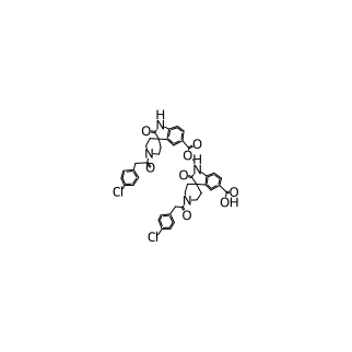 COC(=O)c1ccc2c(c1)C1(CCN(C(=O)Cc3ccc(Cl)cc3)CC1)C(=O)N2.O=C(O)c1ccc2c(c1)C1(CCN(C(=O)Cc3ccc(Cl)cc3)CC1)C(=O)N2